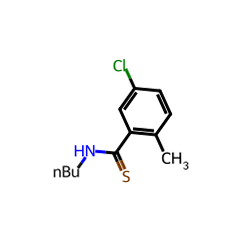 CCCCNC(=S)c1cc(Cl)ccc1C